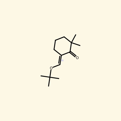 CC(C)(C)O/C=C1\CCCC(C)(C)C1=O